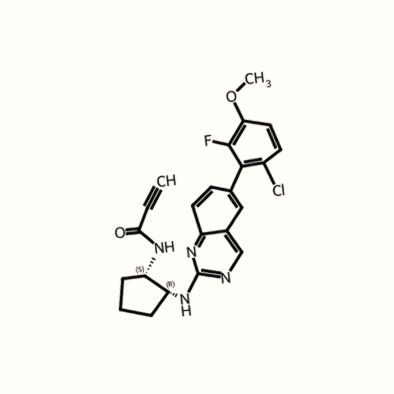 C#CC(=O)N[C@H]1CCC[C@H]1Nc1ncc2cc(-c3c(Cl)ccc(OC)c3F)ccc2n1